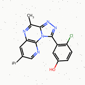 Cc1nc2cc(C(C)C)cnc2n2c(-c3cc(O)ccc3Cl)nnc12